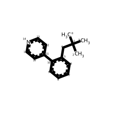 CC(C)(C)Cc1ccccc1-c1ccncc1